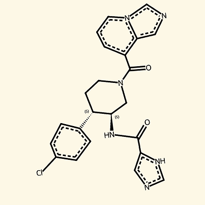 O=C(N[C@@H]1CN(C(=O)c2cccn3cncc23)CC[C@H]1c1ccc(Cl)cc1)c1cnc[nH]1